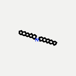 c1ccc2cc3cc4cc5cc([N]c6ccc7cc8cc9cc%10ccccc%10cc9cc8cc7c6)ccc5cc4cc3cc2c1